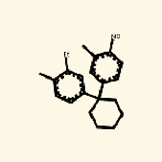 CCc1cc(C2(c3ccc(N=O)c(C)c3)CCCCC2)ccc1C